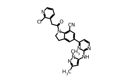 Cc1cc(Nc2nccc(-c3cc(C#N)c4c(c3)CCN4C(=O)Cc3cccnc3Cl)n2)n(C)n1